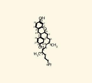 CC(C)CCC[C@@H](C)CCC[C@@H](C)CCCC1Oc2cc(O)ccc2CC1c1ccc(O)cc1